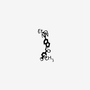 CCc1nc(-c2ccc3c(c2)CC[C@H]3CC(=O)c2ccc(=O)n(C)c2)no1